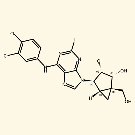 OC[C@@]12C[C@@H]1[C@@H](n1cnc3c(Nc4ccc(Cl)c(Cl)c4)nc(I)nc31)[C@H](O)[C@@H]2O